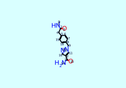 CNC(=O)Cc1ccc(Cn2cc(C(N)=O)cn2)cc1